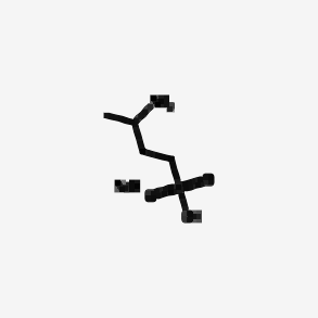 CC(N)CCS(=O)(=O)O.[NaH]